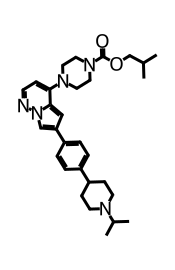 CC(C)COC(=O)N1CCN(c2ccnn3cc(-c4ccc(C5CCN(C(C)C)CC5)cc4)cc23)CC1